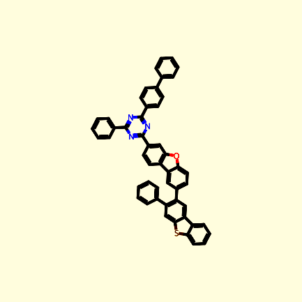 c1ccc(-c2ccc(-c3nc(-c4ccccc4)nc(-c4ccc5c(c4)oc4ccc(-c6cc7c(cc6-c6ccccc6)sc6ccccc67)cc45)n3)cc2)cc1